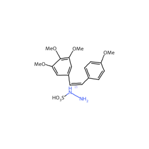 COc1ccc(/C=C\c2cc(OC)c(OC)c(OC)c2)cc1.NNS(=O)(=O)O